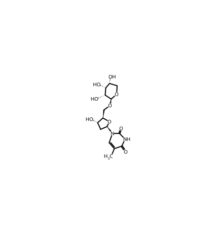 Cc1cn([C@H]2C[C@H](O)[C@@H](CO[C@@H]3OC[C@@H](O)[C@@H](O)[C@H]3O)O2)c(=O)[nH]c1=O